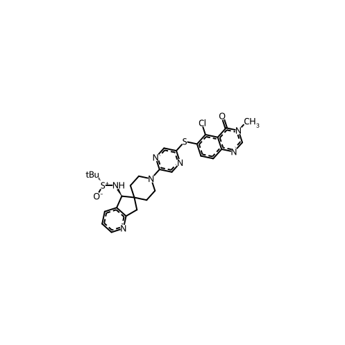 Cn1cnc2ccc(Sc3cnc(N4CCC5(CC4)Cc4ncccc4[C@H]5N[S@+]([O-])C(C)(C)C)cn3)c(Cl)c2c1=O